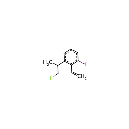 [CH2]C(CF)c1cccc(I)c1C=C